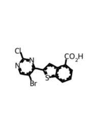 O=C(O)c1cccc2sc(-c3nc(Cl)ncc3Br)cc12